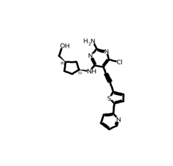 Nc1nc(Cl)c(C#Cc2ccc(-c3ccccn3)s2)c(N[C@H]2CC[C@@H](CO)C2)n1